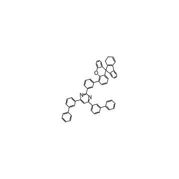 C1=CC2=C(CC1)C1(c3ccccc3Oc3c(-c4cccc(-c5nc(-c6cccc(-c7ccccc7)c6)cc(-c6cccc(-c7ccccc7)c6)n5)c4)cccc31)c1ccccc12